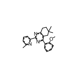 COc1ccccc1-c1nc(-c2cccc(C)n2)nc2c1CC(C)(C)CC2